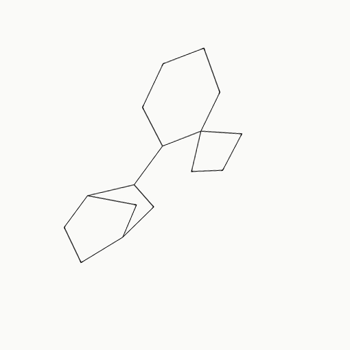 C1CCC2(CCC2)C(C2CC3CCC2C3)C1